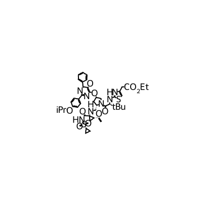 C=C[C@@H]1C[C@]1(NC(=O)[C@@H]1C[C@@H](Oc2nc(-c3ccc(OC(C)C)cc3)nc3c2oc2ccccc23)CN1C(=O)[C@@H](Nc1nc(CC(=O)OCC)cs1)C(C)(C)C)C(=O)NS(=O)(=O)C1CC1